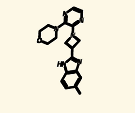 Cc1ccc2[nH]c(C3CN(c4nccnc4N4CCOCC4)C3)nc2c1